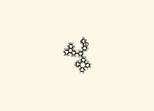 c1ccc2c(c1)-c1ccccc1-c1ccc(-c3cc(-c4ccc5oc6ccccc6c5c4)cc(-c4ccc5c6ccccc6c6ccccc6c5c4)c3)cc1-c1ccccc1-2